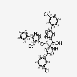 CCn1c(OCC2(C(O)c3noc(-c4cccc(Cl)c4)n3)N=C(c3cccc(Cl)c3)ON2)nnc1-c1cccs1